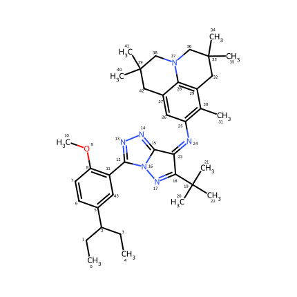 CCC(CC)c1ccc(OC)c(-c2nnc3n2N=C(C(C)(C)C)/C3=N/c2cc3c4c(c2C)CC(C)(C)CN4CC(C)(C)C3)c1